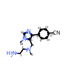 CN(CCN)Cc1c(-c2ccc(C#N)cc2)ncn1C